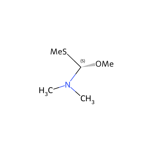 CO[C@@H](SC)N(C)C